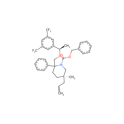 C=CC[C@@]1(C)CCC(CO[C@H](C)c2cc(C(F)(F)F)cc(C(F)(F)F)c2)(c2ccccc2)N(C(=O)OCc2ccccc2)C1